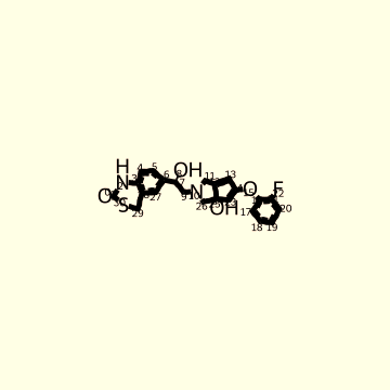 O=C1Nc2ccc([C@H](O)CN3CC4=CC(Oc5ccccc5F)=C[C@@]4(O)C3)cc2CS1